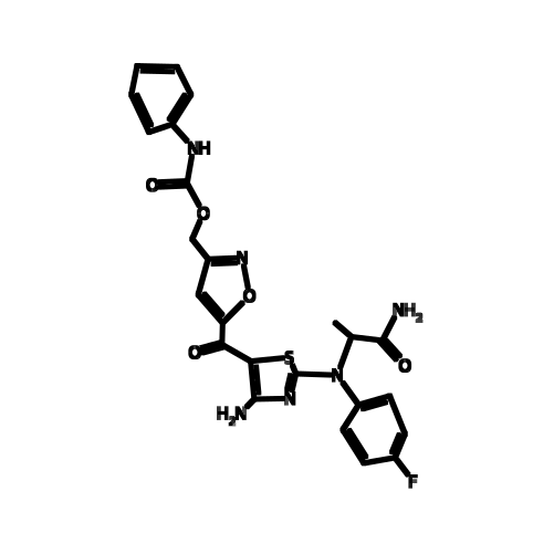 CC(C(N)=O)N(c1ccc(F)cc1)c1nc(N)c(C(=O)c2cc(COC(=O)Nc3ccccc3)no2)s1